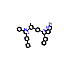 CC1C=C(c2ccc(-c3cc(-c4ccc5ccccc5c4)c4ccc5ccc(C(C)C)nc5c4n3)cc2)C=C(c2nc(-c3ccccc3)cc(-c3ccc(-c4ccccc4)cc3)n2)C1